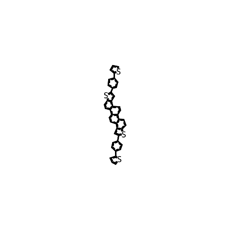 c1csc(-c2ccc(-c3cc4c(ccc5c4ccc4c6ccc7sc(-c8ccc(-c9cccs9)cc8)cc7c6ccc54)s3)cc2)c1